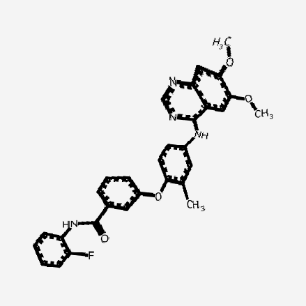 COc1cc2ncnc(Nc3ccc(Oc4cccc(C(=O)Nc5ccccc5F)c4)c(C)c3)c2cc1OC